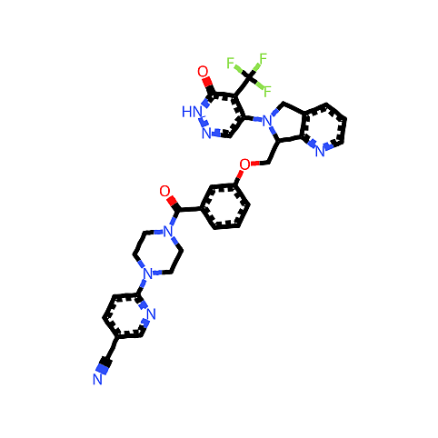 N#Cc1ccc(N2CCN(C(=O)c3cccc(OCC4c5ncccc5CN4c4cn[nH]c(=O)c4C(F)(F)F)c3)CC2)nc1